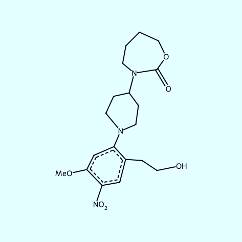 COc1cc(N2CCC(N3CCCCOC3=O)CC2)c(CCO)cc1[N+](=O)[O-]